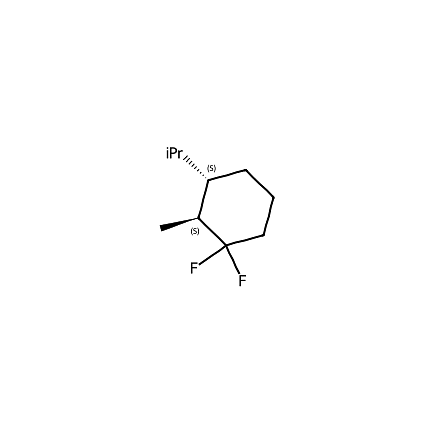 CC(C)[C@@H]1CCCC(F)(F)[C@H]1C